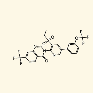 CCS(=O)(=O)c1cc(-c2cccc(OC(F)(F)F)c2)cnc1-n1cnc2cc(C(F)(F)F)ccc2c1=O